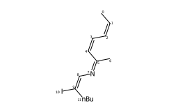 C\C=C/C=C\C(C)=N/C=C(/I)CCCC